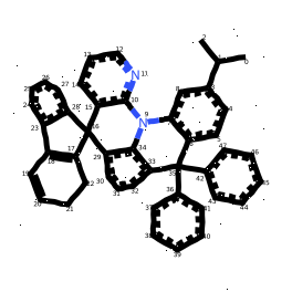 CC(C)c1ccc2c(c1)N1c3ncccc3C3(C4=C(C=CCC4)c4ccccc43)c3cccc(c31)C2(c1ccccc1)c1ccccc1